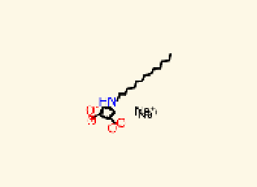 CCCCCCCCCCCCCCNc1cc(C(=O)[O-])cc(C(=O)[O-])c1.[Na+].[Na+]